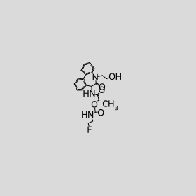 C[C@H](OC(=O)NCCF)C(=O)N[C@@H]1C(=O)N(CCO)c2ccccc2-c2ccccc21